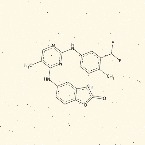 Cc1ccc(Nc2ncc(C)c(Nc3ccc4oc(=O)[nH]c4c3)n2)cc1C(F)F